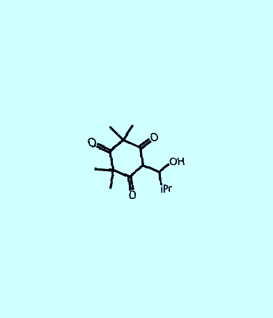 CC(C)C(O)C1C(=O)C(C)(C)C(=O)C(C)(C)C1=O